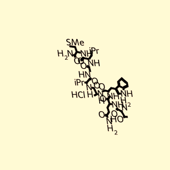 CSCCC(NC(=O)C(CC(C)C)NC(=O)CNC(=O)C(NC(=O)C(C)NC(=O)C(Cc1c[nH]c2ccccc12)NC(=O)C(CCC(N)=O)NC(=O)C(N)C(C)O)C(C)C)C(N)=O.Cl